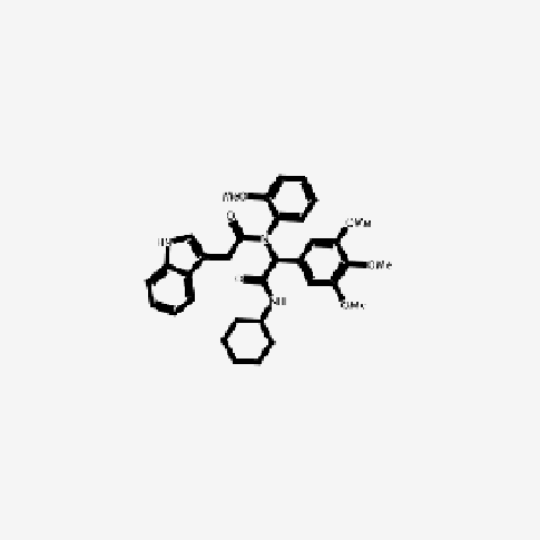 COc1ccccc1N(C(=O)Cc1c[nH]c2ccccc12)C(C(=O)NC1CCCCC1)c1cc(OC)c(OC)c(OC)c1